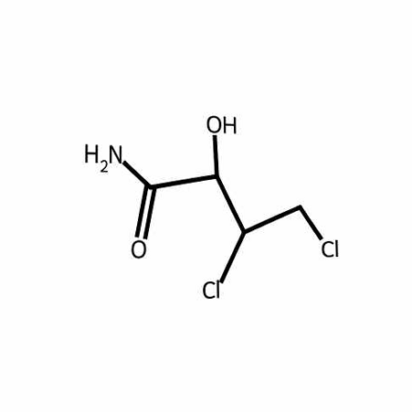 NC(=O)C(O)C(Cl)CCl